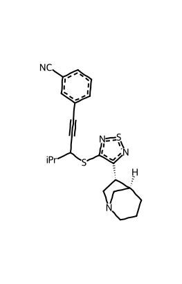 CC(C)C(C#Cc1cccc(C#N)c1)Sc1nsnc1[C@H]1CN2CCC[C@H]1C2